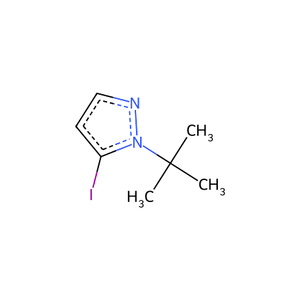 CC(C)(C)n1nccc1I